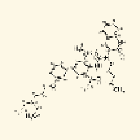 C=CCCCN(C(=O)Nc1c(C(C)C)cc(-c2cccc(OCCCN(CC)CC)c2)cc1C(C)C)c1cc2cccnc2[nH]c1=O